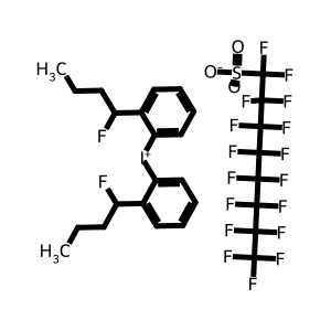 CCCC(F)c1ccccc1[I+]c1ccccc1C(F)CCC.O=S(=O)([O-])C(F)(F)C(F)(F)C(F)(F)C(F)(F)C(F)(F)C(F)(F)C(F)(F)C(F)(F)F